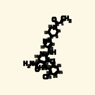 C=CC(=O)N1CCC(n2cc(Nc3ncc(C(N)=O)c(Nc4c(Cl)cccc4Cl)n3)cn2)CC1